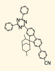 CC1CC2CC(C)C3(c4cc(-c5ccc(C#N)cc5)ccc4-c4ccc(-c5nc(-c6ccccc6)nc(-c6ccccc6)n5)cc43)C(C1)C2